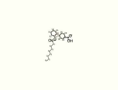 CCCCCCCCC(=O)Oc1ccccc1-c1ccc(C(=O)O)cc1